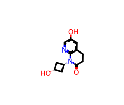 O=C1CCc2cc(O)cnc2N1[C@H]1C[C@@H](O)C1